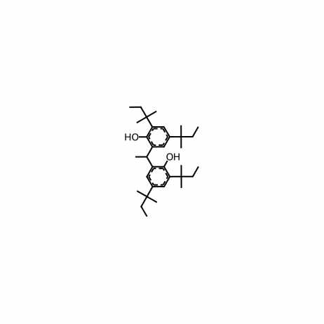 CCC(C)(C)c1cc(C(C)c2cc(C(C)(C)CC)cc(C(C)(C)CC)c2O)c(O)c(C(C)(C)CC)c1